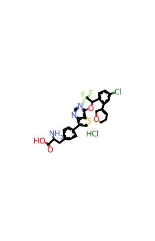 Cl.NC(Cc1ccc(-c2csc3c(OC(c4ccc(Cl)cc4C4=CCCOC4)C(F)(F)F)ncnc23)cc1)C(=O)O